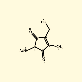 CC(=O)NN1C(=O)C(C)=C(CO)C1=O